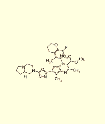 Cc1nc2c(cc(-c3nnc(N4CCN5CCC[C@@H]5C4)o3)n2C)c(-c2cc(F)c3c(c2C)CCCO3)c1[C@H](OC(C)(C)C)C(=O)O